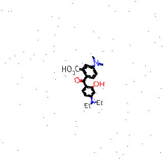 CCN(CC)c1ccc(C(=O)c2ccc(N(C)C)cc2C(=O)O)c(O)c1